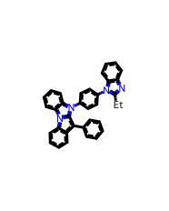 CCc1nc2ccccc2n1-c1ccc(-n2c3ccccc3n3c4ccccc4c(-c4ccccc4)c23)cc1